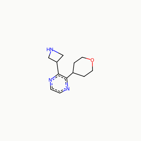 c1cnc(C2CNC2)c(C2CCOCC2)n1